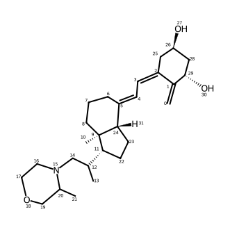 C=C1C(=CC=C2CCC[C@]3(C)[C@@H](C(C)CN4CCOCC4C)CC[C@@H]23)C[C@@H](O)C[C@@H]1O